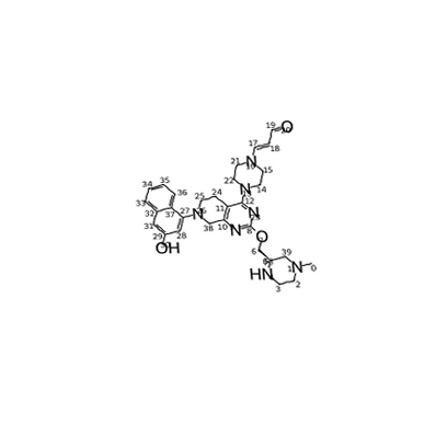 CN1CCN[C@@H](COc2nc3c(c(N4CCN(C=CC=O)CC4)n2)CCN(c2cc(O)cc4ccccc24)C3)C1